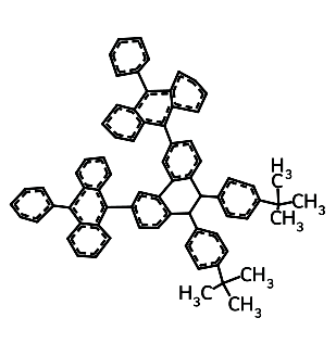 CC(C)(C)c1ccc(C2c3ccc(-c4c5ccccc5c(-c5ccccc5)c5ccccc45)cc3-c3cc(-c4c5ccccc5c(-c5ccccc5)c5ccccc45)ccc3C2c2ccc(C(C)(C)C)cc2)cc1